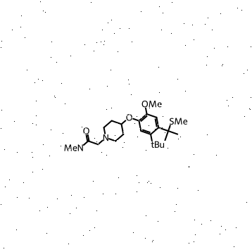 CNC(=O)CN1CCC(Oc2cc(C(C)(C)C)c(C(C)(C)SC)cc2OC)CC1